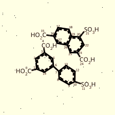 O=C(O)c1cc(C(=O)O)cc(-c2ccc(S(=O)(=O)O)cc2)c1.O=C(O)c1ccc2c(S(=O)(=O)O)cc(C(=O)O)cc2c1